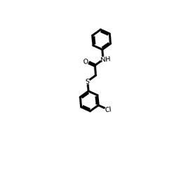 O=C(CSc1cccc(Cl)c1)Nc1ccccc1